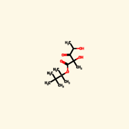 CC(O)C(=O)C(C)(O)C(=O)O[Si](C)(C)C(C)(C)C